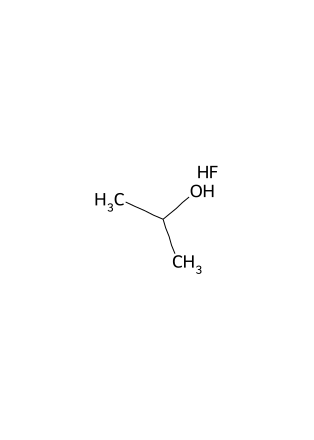 CC(C)O.F